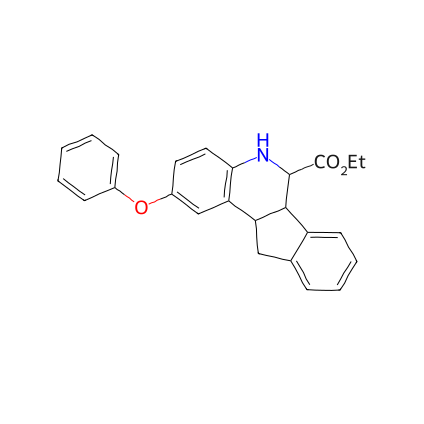 CCOC(=O)C1Nc2ccc(Oc3ccccc3)cc2C2Cc3ccccc3C12